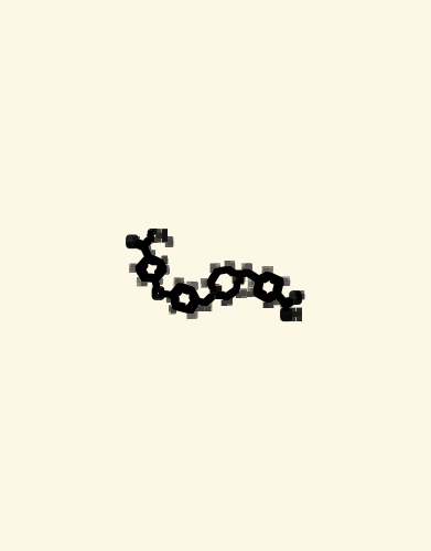 CC(=O)c1ccc(Oc2ccc(CN3CCCN(Cc4ccc(C(=O)O)cc4)CC3)cc2)cc1